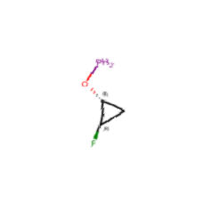 F[C@@H]1C[C@H]1OP